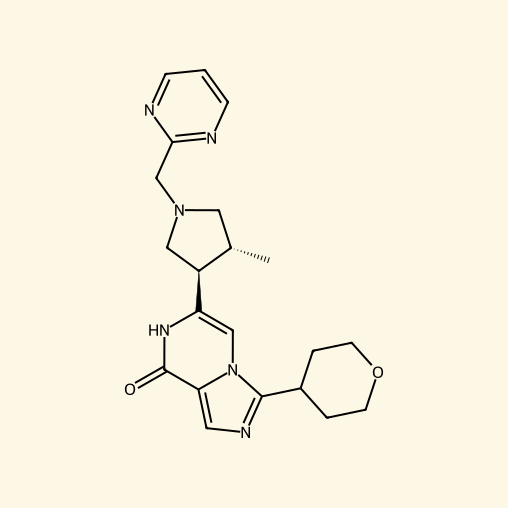 C[C@H]1CN(Cc2ncccn2)C[C@@H]1c1cn2c(C3CCOCC3)ncc2c(=O)[nH]1